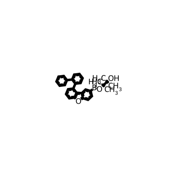 CC(C)(O)C(C)(C)OBc1ccc2oc3cccc(-c4ccccc4-c4ccccc4)c3c2c1